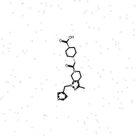 Cc1nn(Cc2ccsc2)c2c1CCN(C(=O)C[C@H]1CC[C@H](C(=O)O)CC1)C2